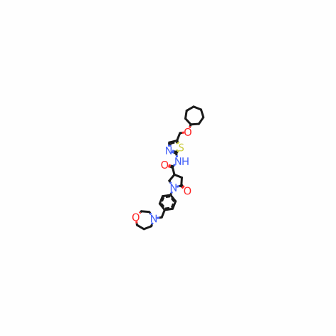 O=C(Nc1ncc(COC2CCCCCC2)s1)C1CC(=O)N(c2ccc(CN3CCCOCC3)cc2)C1